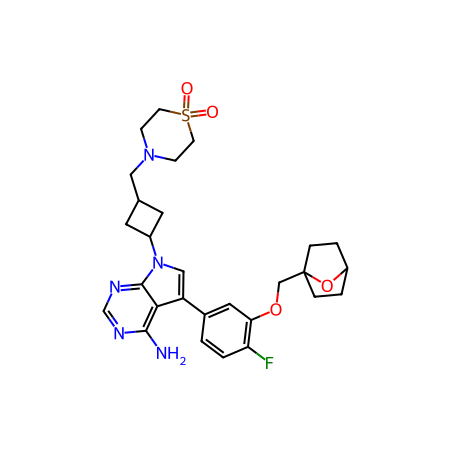 Nc1ncnc2c1c(-c1ccc(F)c(OCC34CCC(CC3)O4)c1)cn2C1CC(CN2CCS(=O)(=O)CC2)C1